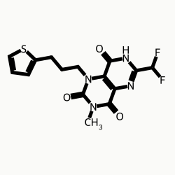 Cn1c(=O)c2nc(C(F)F)[nH]c(=O)c2n(CCCc2cccs2)c1=O